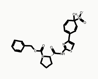 CC1([N+](=O)[O-])C=CC=C(c2csc(NC(=O)[C@@H]3CCCN3C(=O)OCc3ccccc3)n2)C=C1